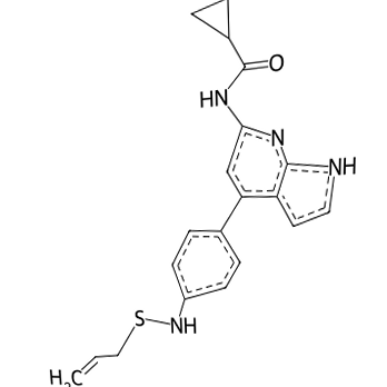 C=CCSNc1ccc(-c2cc(NC(=O)C3CC3)nc3[nH]ccc23)cc1